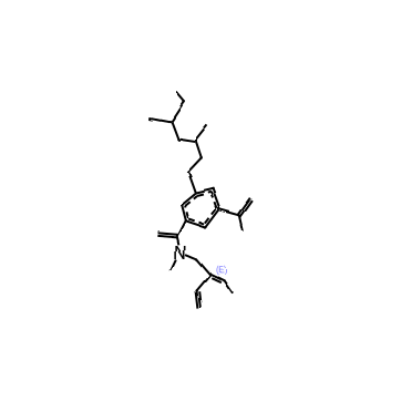 C=C/C(=C\C)CN(C)C(=C)c1cc(CCC(C)CC(C)CC)cc(C(=C)C)c1